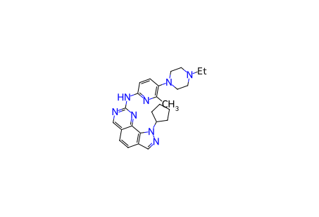 CCN1CCN(c2ccc(Nc3ncc4ccc5cnn(C6CCCC6)c5c4n3)nc2C)CC1